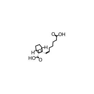 O=C(O)CCCC/C=C\[C@@H]1[C@H](C(=O)O)[C@@H]2CC[C@H]1O2